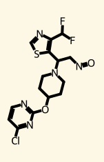 O=NCC(c1scnc1C(F)F)N1CCC(Oc2nccc(Cl)n2)CC1